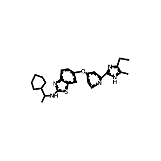 CCc1nc(-c2cc(Oc3ccc4nc(NC(C)C5CCCCC5)sc4c3)ccn2)[nH]c1C